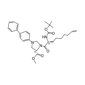 C=CCCCCC[C@H](NC(=O)OC(C)(C)C)C(=O)N1CN(c2ccc(-c3ccccc3)cc2)C[C@H]1C(=O)OC